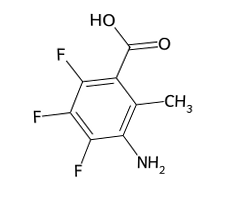 Cc1c(N)c(F)c(F)c(F)c1C(=O)O